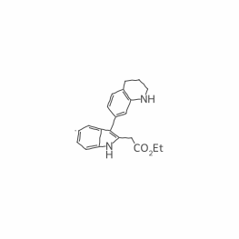 CCOC(=O)Cc1[nH]c2cc[c]cc2c1-c1ccc2c(c1)NCCC2